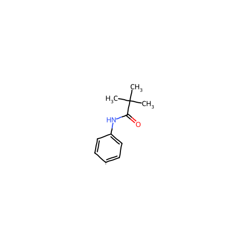 CC(C)(C)C(=O)Nc1cc[c]cc1